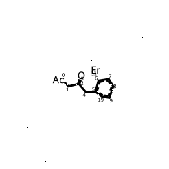 CC(=O)CC(=O)Cc1ccccc1.[Er]